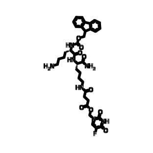 NCCCC[C@H](NC(=O)OCC1c2ccccc2-c2ccccc21)C(=O)N[C@@H](CCCCNC(=O)CCC(=O)OCn1cc(F)c(=O)[nH]c1=O)C(N)=O